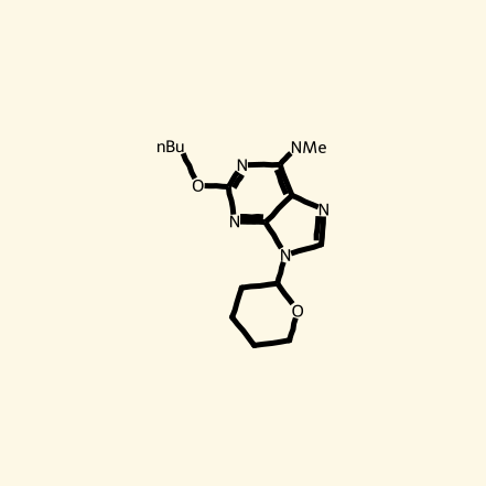 CCCCOc1nc(NC)c2ncn(C3CCCCO3)c2n1